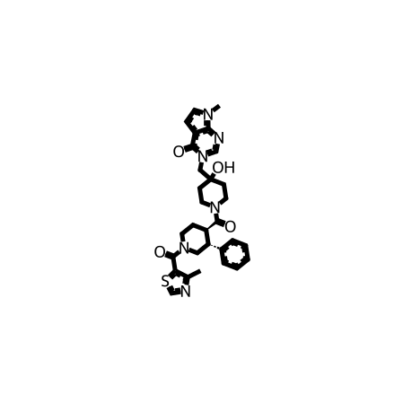 Cc1ncsc1C(=O)N1CC[C@@H](C(=O)N2CCC(O)(Cn3cnc4c(ccn4C)c3=O)CC2)[C@H](c2ccccc2)C1